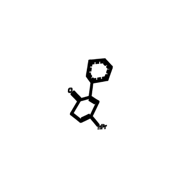 CCCC1=CCC(=O)C(c2ccccc2)=C1